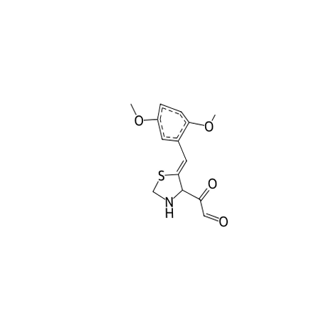 COc1ccc(OC)c(C=C2SCNC2C(=O)C=O)c1